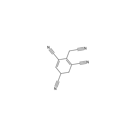 N#CCC1=C(C#N)CC(C#N)C=C1C#N